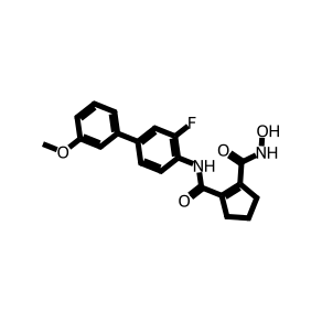 COc1cccc(-c2ccc(NC(=O)C3=C(C(=O)NO)CCC3)c(F)c2)c1